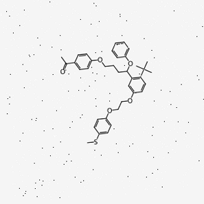 CSc1ccc(OCCOc2ccc(C(C)(C)C)c(C(CCCOc3ccc(C(C)=O)cc3)Oc3ccccc3)c2)cc1